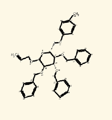 C=CCO[C@H]1O[C@H](COc2ccc(C)cc2)[C@@H](OCc2ccccc2)[C@H](OCc2ccccc2)[C@H]1OCc1ccccc1